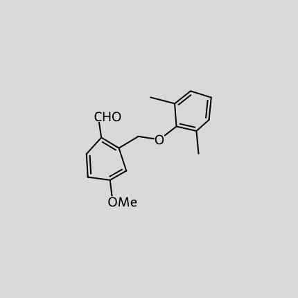 COc1ccc(C=O)c(COc2c(C)cccc2C)c1